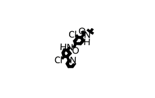 CC(C)(C)NC(=O)c1ccc(C(=O)Nc2ccc(Cl)c(-c3ccccn3)c2)cc1Cl